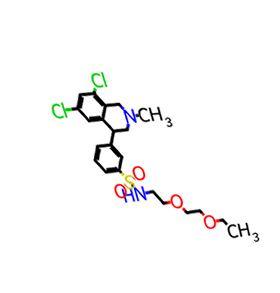 CCOCCOCCNS(=O)(=O)c1cccc(C2CN(C)Cc3c(Cl)cc(Cl)cc32)c1